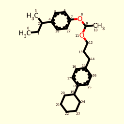 CCC(C)c1ccc(OC(C)OCCCc2ccc(C3CCCCC3)cc2)cc1